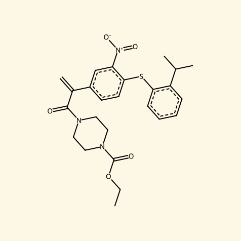 C=C(C(=O)N1CCN(C(=O)OCC)CC1)c1ccc(Sc2ccccc2C(C)C)c([N+](=O)[O-])c1